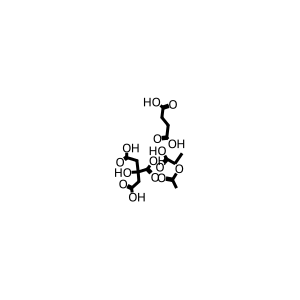 CC(=O)OC(C)C(=O)O.O=C(O)CC(O)(CC(=O)O)C(=O)O.O=C(O)CCC(=O)O